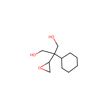 OCC(CO)(C1CCCCC1)C1CO1